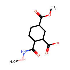 CBNC(=O)C1CCC(C(=O)OC)CC1C(=O)O